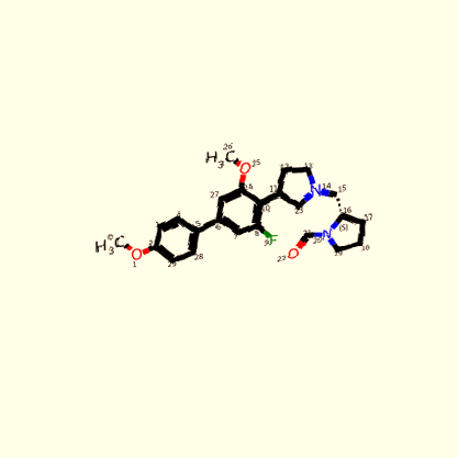 COc1ccc(-c2cc(F)c(C3CCN(C[C@@H]4CCCN4C=O)C3)c(OC)c2)cc1